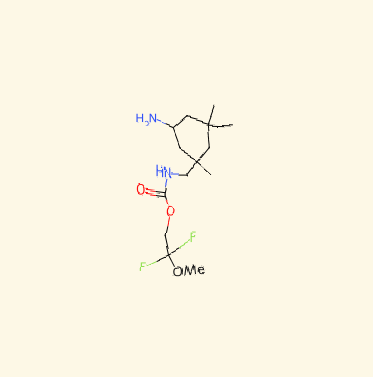 COC(F)(F)COC(=O)NCC1(C)CC(N)CC(C)(C)C1